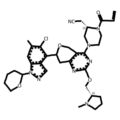 C=CC(=O)N1CCN(c2nc(OC[C@@H]3CCCN3C)nc3c2COC(c2c(Cl)c(C)cc4c2cnn4C2CCCCO2)C3)C[C@@H]1CC#N